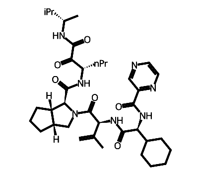 C=C(C)[C@H](NC(=O)[C@@H](NC(=O)c1cnccn1)C1CCCCC1)C(=O)N1C[C@@H]2CCC[C@@H]2[C@H]1C(=O)N[C@@H](CCC)C(=O)C(=O)N[C@@H](C)C(C)C